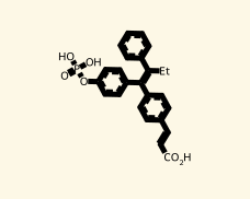 CC/C(=C(\c1ccc(/C=C/C(=O)O)cc1)c1ccc(OP(=O)(O)O)cc1)c1ccccc1